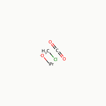 CC(C)[O].CCl.O=C=O